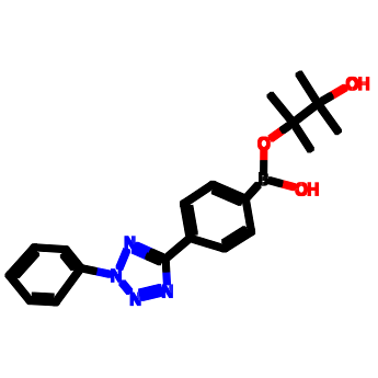 CC(C)(O)C(C)(C)OB(O)c1ccc(-c2nnn(-c3ccccc3)n2)cc1